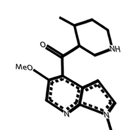 COc1cnc2c(ccn2C)c1C(=O)C1CNCCC1C